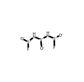 [O-][S+](F)N[S+]([O-])N[S+]([O-])F